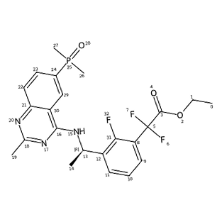 CCOC(=O)C(F)(F)c1cccc([C@@H](C)Nc2nc(C)nc3ccc(P(C)(C)=O)cc23)c1F